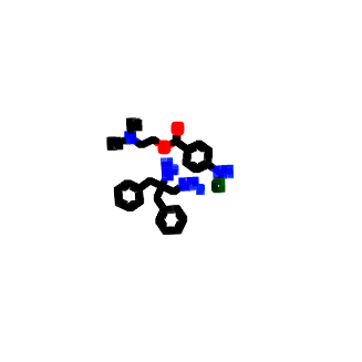 CCN(CC)CCOC(=O)c1ccc(NCl)cc1.NCC(N)(Cc1ccccc1)Cc1ccccc1